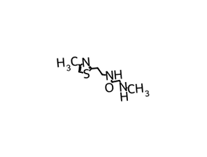 CNCC(=O)NCCc1nc(C)cs1